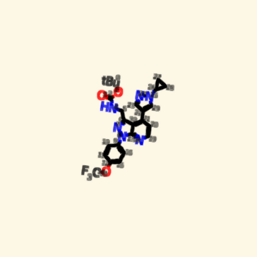 CC(C)(C)OC(=O)NCc1nn(-c2ccc(OC(F)(F)F)cc2)c2nccc(-c3cnn(C4CC4)c3)c12